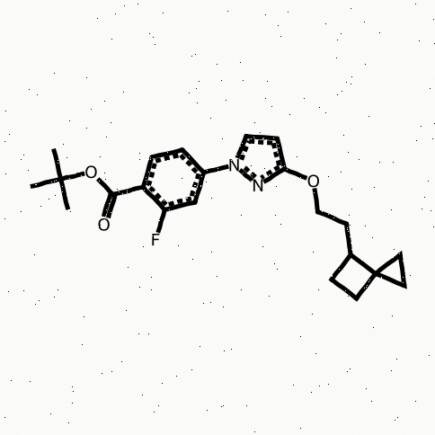 CC(C)(C)OC(=O)c1ccc(-n2ccc(OCCC3CCC34CC4)n2)cc1F